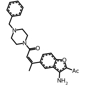 CC(=O)c1oc2ccc(/C(C)=C\C(=O)N3CCN(Cc4ccccc4)CC3)cc2c1N